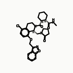 CNC(=O)[C@H]1CCCC[C@H]1C(=O)N1CCc2c(Cl)ccc(OCc3noc4ccccc34)c2[C@H]1CN1CCCC1=O